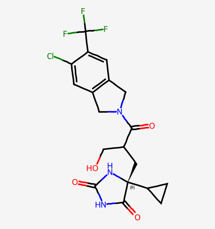 O=C1NC(=O)[C@@](CC(CO)C(=O)N2Cc3cc(Cl)c(C(F)(F)F)cc3C2)(C2CC2)N1